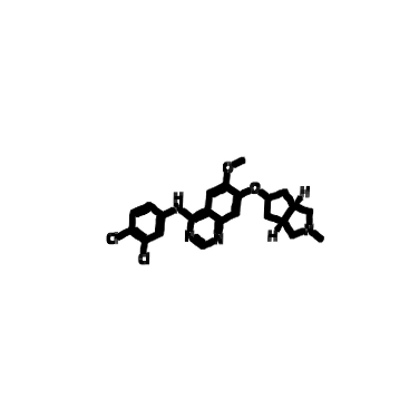 COc1cc2c(Nc3ccc(Cl)c(Cl)c3)ncnc2cc1OC1C[C@@H]2CN(C)C[C@@H]2C1